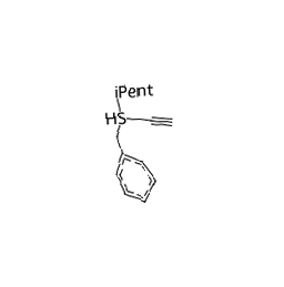 C#C[SH](Cc1ccccc1)C(C)CCC